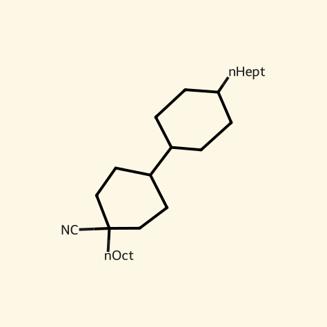 CCCCCCCCC1(C#N)CCC(C2CCC(CCCCCCC)CC2)CC1